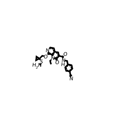 CCn1c(=O)c(C(=O)NCc2ccc(C#N)cc2)cc2ccnc(OCC3(SN)CC3)c21